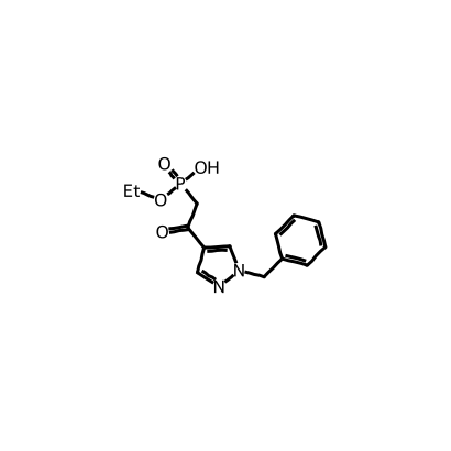 CCOP(=O)(O)CC(=O)c1cnn(Cc2ccccc2)c1